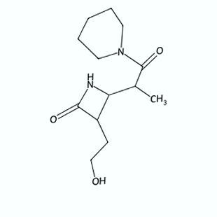 CC(C(=O)N1CCCCC1)C1NC(=O)C1CCO